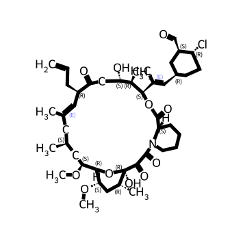 C=CC[C@@H]1/C=C(\C)C[C@H](C)C[C@H](OC)[C@H]2O[C@@](O)(C(=O)C(=O)N3CCCC[C@H]3C(=O)O[C@H](/C(C)=C/[C@@H]3CC[C@@H](Cl)[C@H](C=O)C3)[C@H](C)[C@@H](O)CC1=O)[C@H](C)C[C@@H]2OC